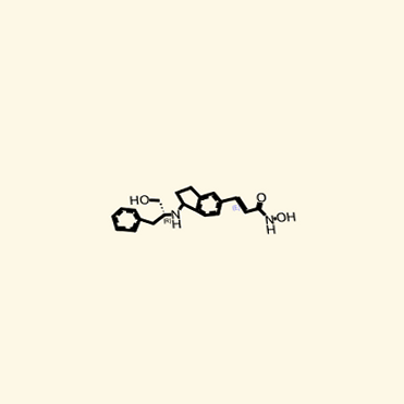 O=C(/C=C/c1ccc2c(c1)CCC2N[C@@H](CO)Cc1ccccc1)NO